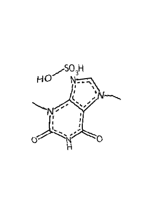 Cn1cnc2c1c(=O)[nH]c(=O)n2C.O=S(=O)(O)O